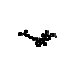 C=C1CCC(N2Cc3c(NCCCCCC(=O)C(C)C)cccc3C2=O)C(=O)N1